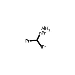 [AlH3].[CH2]CCC(C(C)C)C(C)C